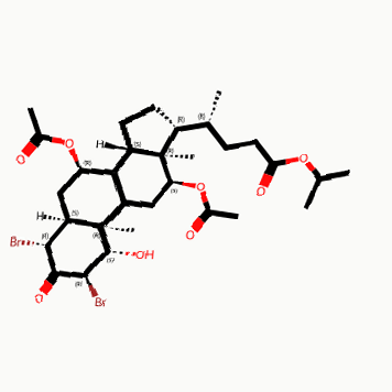 CC(=O)O[C@H]1CC2C([C@H](OC(C)=O)C[C@@H]3[C@@H](Br)C(=O)[C@H](Br)[C@@H](O)[C@]23C)[C@@H]2CC[C@H]([C@H](C)CCC(=O)OC(C)C)[C@@]12C